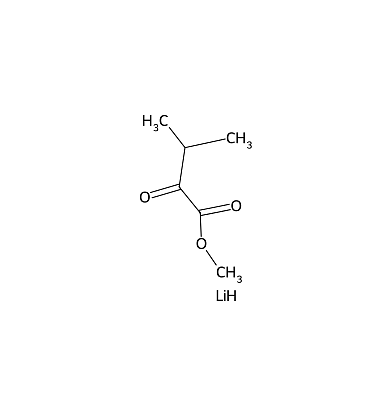 COC(=O)C(=O)C(C)C.[LiH]